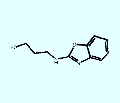 OCCCNc1nc2ccccc2o1